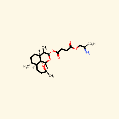 C[C@H]1[C@H](OC(=O)CCC(=O)OC[C@H](N)C(=O)O)O[C@@H]2O[C@@]3(C)CC[C@H]4[C@H](C)CC[C@@H]1[C@@]24OO3